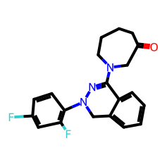 O=C1CCCCN(C2=NN(c3ccc(F)cc3F)Cc3ccccc32)C1